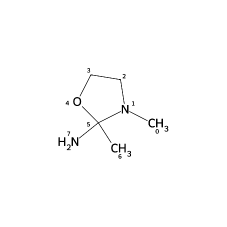 CN1CCOC1(C)N